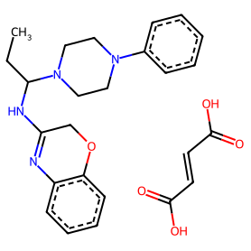 CCC(NC1=Nc2ccccc2OC1)N1CCN(c2ccccc2)CC1.O=C(O)C=CC(=O)O